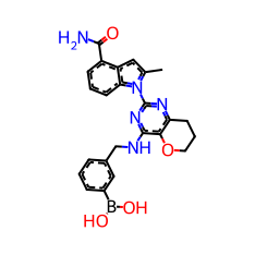 Cc1cc2c(C(N)=O)cccc2n1-c1nc2c(c(NCc3cccc(B(O)O)c3)n1)OCCC2